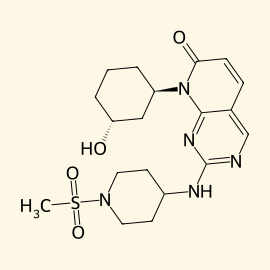 CS(=O)(=O)N1CCC(Nc2ncc3ccc(=O)n([C@@H]4CCC[C@@H](O)C4)c3n2)CC1